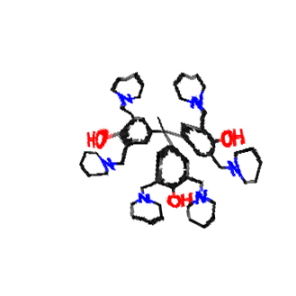 CC(c1cc(CN2CCCCC2)c(O)c(CN2CCCCC2)c1)(c1cc(CN2CCCCC2)c(O)c(CN2CCCCC2)c1)c1cc(CN2CCCCC2)c(O)c(CN2CCCCC2)c1